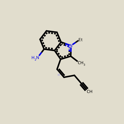 C#CC/C=C\c1c(C)n(CC)c2cccc(N)c12